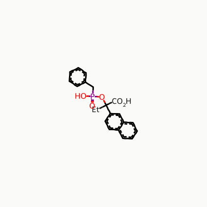 CCC(OP(=O)(O)Cc1ccccc1)(C(=O)O)c1ccc2ccccc2c1